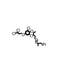 CC(CC(C)C)=NOCCCC(C)Oc1c(Cl)cc(OCC=C(Cl)Cl)cc1Cl